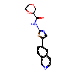 O=C(Nc1ncc(-c2ccc3cnccc3c2)s1)C1COCCO1